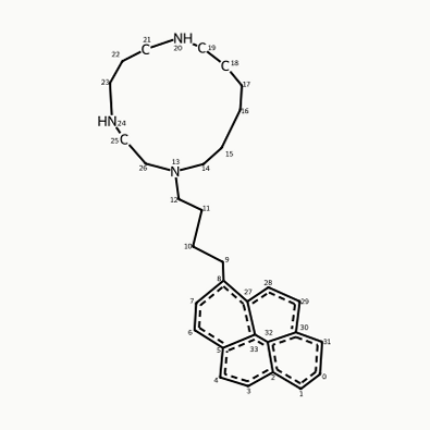 c1cc2ccc3ccc(CCCCN4CCCCCCNCCCNCC4)c4ccc(c1)c2c34